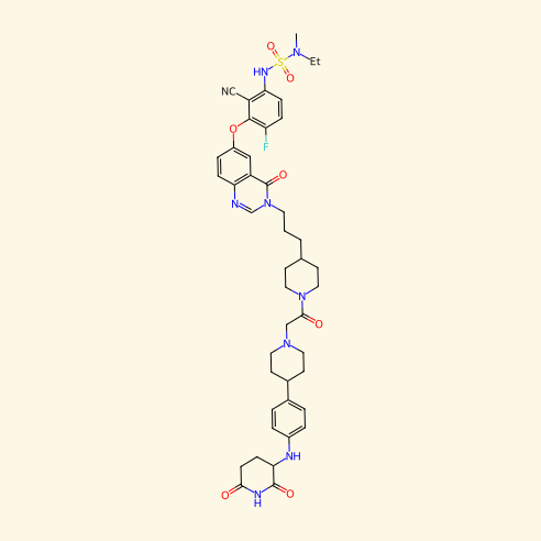 CCN(C)S(=O)(=O)Nc1ccc(F)c(Oc2ccc3ncn(CCCC4CCN(C(=O)CN5CCC(c6ccc(NC7CCC(=O)NC7=O)cc6)CC5)CC4)c(=O)c3c2)c1C#N